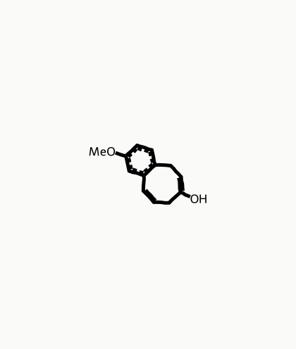 COc1ccc2c(c1)C=CCC(O)=CC2